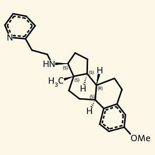 COc1ccc2c(c1)CC[C@@H]1[C@@H]2CC[C@]2(C)[C@@H](NCCc3ccccn3)CC[C@@H]12